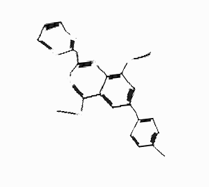 CNc1nc(-c2ncccn2)nc2c(OC)cc(-c3ccc(F)cc3)cc12